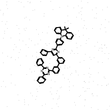 CC1(C)c2ccccc2N(c2ccc(-c3nc(-c4ccccc4)cc(-c4cccc(-c5cccc(-c6nc(-c7ccccc7)nc(-c7ccccc7)n6)c5)c4)n3)cc2)c2ccccc21